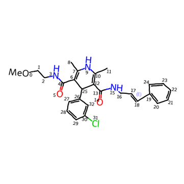 COCCNC(=O)C1=C(C)NC(C)=C(C(=O)NC/C=C/c2ccccc2)C1c1cccc(Cl)c1